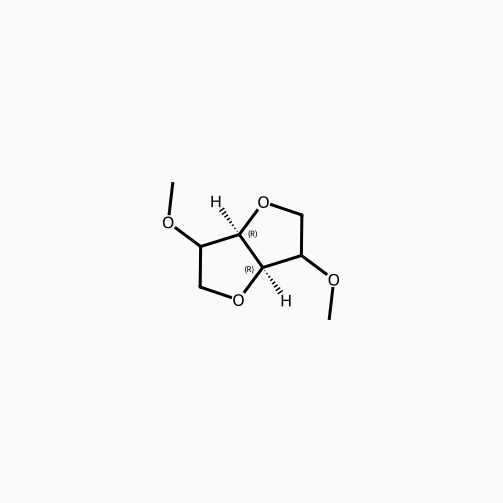 COC1CO[C@@H]2C(OC)CO[C@H]12